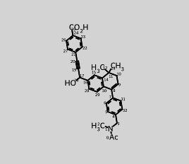 CC(=O)N(C)Cc1ccc(C2=CCC(C)(C)c3cc(C(O)C#Cc4ccc(C(=O)O)cc4)ccc32)cc1